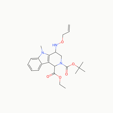 C=CCONC1CN(C(=O)OC(C)(C)C)C(C(=O)OCC)c2c1n(C)c1ccccc21